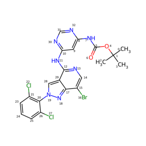 CC(C)(C)OC(=O)Nc1cc(Nc2ncc(Br)c3nn(-c4c(Cl)cccc4Cl)cc23)ncn1